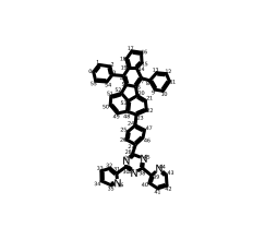 c1ccc(-c2c3c(c(-c4ccccc4)c4ccccc24)-c2ccc(-c4ccc(-c5nc(-c6ccccn6)nc(-c6ccccn6)n5)cc4)c4cccc-3c24)cc1